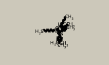 CCCCCCCCOP(=O)(OCCCCCCCC)c1cc(-c2ccc(C(C)(C)C)cc2)sc1-c1ccc(C(C)(C)C)cc1